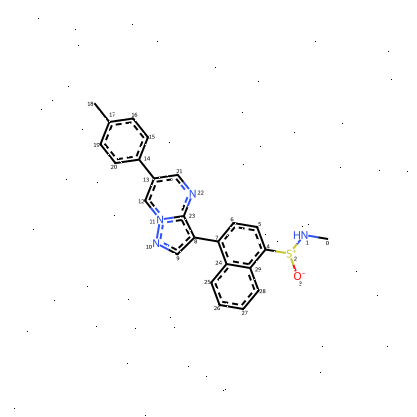 CN[S+]([O-])c1ccc(-c2cnn3cc(-c4ccc(C)cc4)cnc23)c2ccccc12